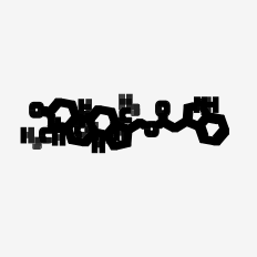 CN1C(=O)CC[C@]2(C)[C@H]3CC[C@]4(C)C(COC(=O)Cc5c[nH]c6ccccc56)CC[C@H]4[C@@H]3CC[C@@H]12